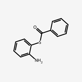 Nc1ccccc1SC(=O)c1ccccc1